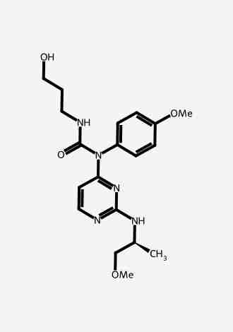 COC[C@H](C)Nc1nccc(N(C(=O)NCCCO)c2ccc(OC)cc2)n1